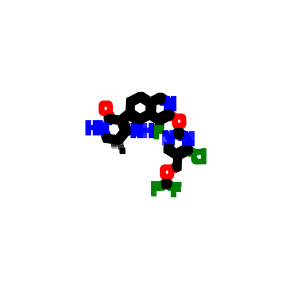 C[C@@H]1CNC(=O)c2c1[nH]c1c2CCc2cnc(Oc3ncc(COC(F)F)c(Cl)n3)c(F)c2-1